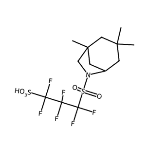 CC1(C)CC2CC(C)(CN2S(=O)(=O)C(F)(F)C(F)(F)C(F)(F)S(=O)(=O)O)C1